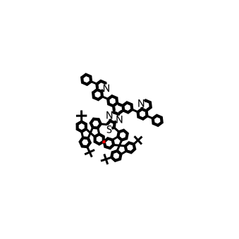 CC(C)(C)c1ccc2c(c1)C1(c3cc(C(C)(C)C)ccc3-2)c2ccccc2-c2c(-c3sc(-c4cccc5c4-c4ccccc4C54c5cc(C(C)(C)C)ccc5-c5ccc(C(C)(C)C)cc54)c4nc5c6cc(-c7ccc(-c8ccccc8)c8cccnc78)ccc6c6ccc(-c7cccc8c(-c9ccccc9)ccnc78)cc6c5nc34)cccc21